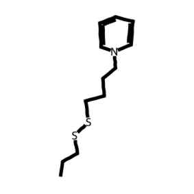 CCCSSCCCCN1C=C=CC=C1